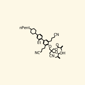 C=C(C)C(=O)OCC(CC#N)(COc1c(CCCC#N)cc(-c2ccc(C3CCC(CCCCC)CC3)cc2CC)cc1CCCC#N)COC(O)C(=C)C